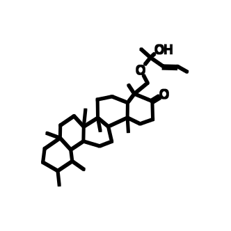 C/C=C/C(C)(O)OCC1(C)C(=O)CCC2(C)C1CCC1(C)C2CCC2C3C(C)C(C)CCC3(C)CCC21C